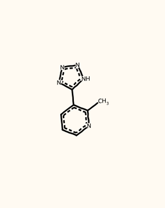 Cc1ncccc1-c1nnn[nH]1